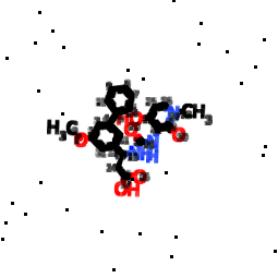 COc1cc(-c2ccccc2)cc([C@H](CC(=O)O)NC(=O)Nc2c(O)ccn(C)c2=O)c1